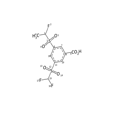 CC(F)S(=O)(=O)c1cc(C(=O)O)cc(S(=O)(=O)C(F)F)c1